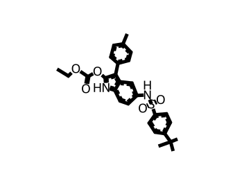 CCOC(=O)Oc1[nH]c2ccc(NS(=O)(=O)c3ccc(C(C)(C)C)cc3)cc2c1-c1ccc(C)cc1